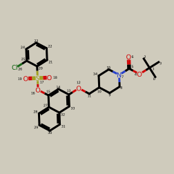 CC(C)(C)OC(=O)N1CCC(COc2cc(OS(=O)(=O)c3ccccc3Cl)c3ccccc3c2)CC1